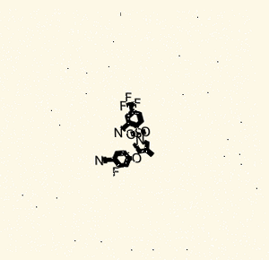 C=C1CN(S(=O)(=O)c2ccc(C(F)(F)F)cc2C#N)C[C@@H]1Oc1[c]cc(C#N)c(F)c1